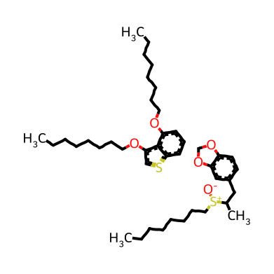 CCCCCCCCOc1cccc2scc(OCCCCCCCC)c12.CCCCCCCC[S+]([O-])C(C)Cc1ccc2c(c1)OCO2